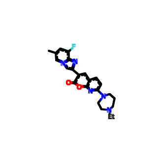 CCN1CCCN(c2ccc3cc(-c4cn5cc(C)cc(F)c5n4)c(=O)oc3n2)CC1